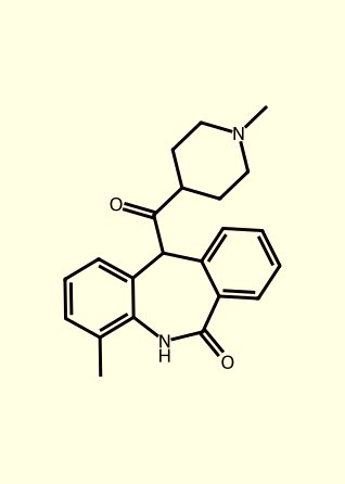 Cc1cccc2c1NC(=O)c1ccccc1C2C(=O)C1CCN(C)CC1